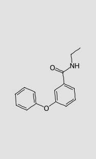 CCNC(=O)c1cccc(Oc2ccccc2)c1